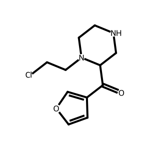 O=C(c1ccoc1)C1CNCCN1CCCl